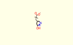 COC(=O)C(C)(C)Cc1cnnc(O)c1